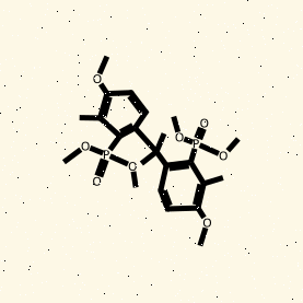 COc1ccc(C(C)(C)c2ccc(OC)c(C)c2P(=O)(OC)OC)c(P(=O)(OC)OC)c1C